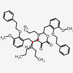 CCCN(CCC)C(Cc1cccc(OC)c1OCCc1ccccc1)OC(=O)C(=O)OC(Cc1cccc(OC)c1OCCc1ccccc1)N(CCC)CCC